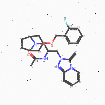 C=C1N(CC(CN2C3CCC2CC(OCc2ccccc2F)C3)NC(C)=O)N=C2C=CC=CN12